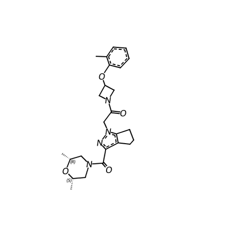 Cc1ccccc1OC1CN(C(=O)Cn2nc(C(=O)N3C[C@@H](C)O[C@@H](C)C3)c3c2CCC3)C1